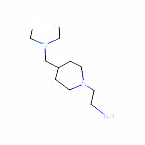 CCN(CC)CC1CCN(CCN)CC1